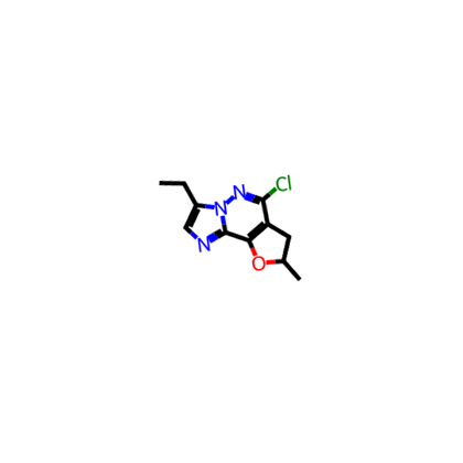 CCc1cnc2c3c(c(Cl)nn12)CC(C)O3